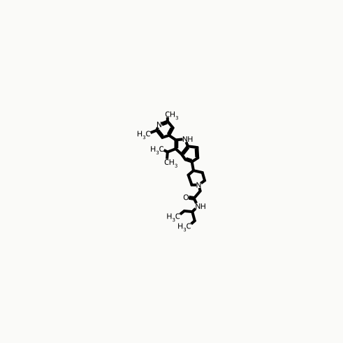 CCC(CC)NC(=O)CN1CCC(c2ccc3[nH]c(-c4cc(C)nc(C)c4)c(C(C)C)c3c2)CC1